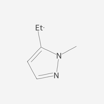 C[CH]c1ccnn1C